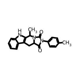 Cc1ccc(N2C(=O)C3Cc4c([nH]c5ccccc45)C(C)N3C2=O)cc1